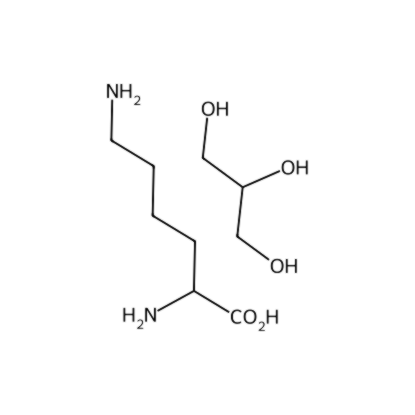 NCCCCC(N)C(=O)O.OCC(O)CO